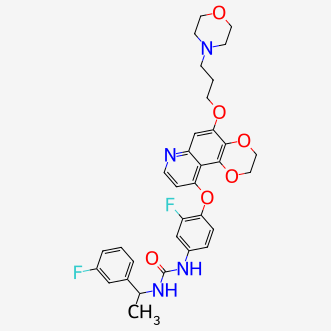 CC(NC(=O)Nc1ccc(Oc2ccnc3cc(OCCCN4CCOCC4)c4c(c23)OCCO4)c(F)c1)c1cccc(F)c1